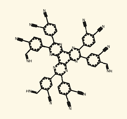 N#Cc1ccc(-c2nc3c4nc(-c5ccc(C#N)c(C#N)c5)c(-c5ccc(C#N)c(C=N)c5)nc4c4nc(-c5ccc(C=N)c(C#N)c5)c(-c5ccc(C#N)c(C#N)c5)nc4c3nc2-c2ccc(C=N)c(C#N)c2)cc1C#N